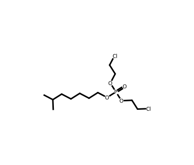 CC(C)CCCCCOP(=O)(OCCCl)OCCCl